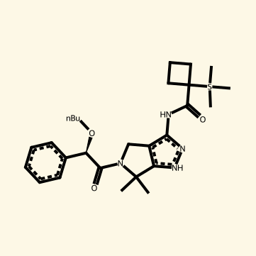 CCCCO[C@@H](C(=O)N1Cc2c(NC(=O)C3(S(C)(C)C)CCC3)n[nH]c2C1(C)C)c1ccccc1